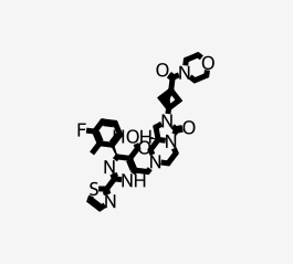 Cc1c(F)cccc1[C@@H]1N=C(c2nccs2)NC(CN2CCN3C(=O)N(C45CC(C(=O)N6CCOCC6)(C4)C5)C[C@@H]3C2)=C1C(=O)O